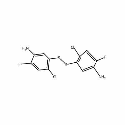 Nc1cc(SSc2cc(N)c(F)cc2Cl)c(Cl)cc1F